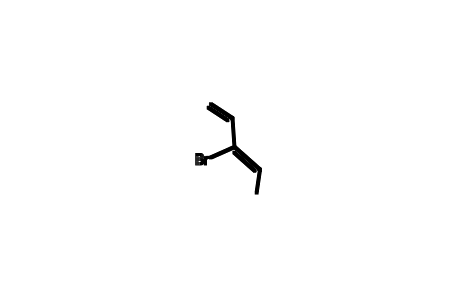 C=CC(Br)=CC